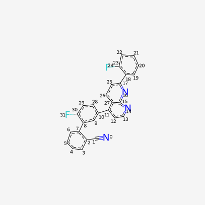 N#Cc1ccccc1-c1cc(-c2ccnc3nc(-c4ccccc4F)ccc23)ccc1F